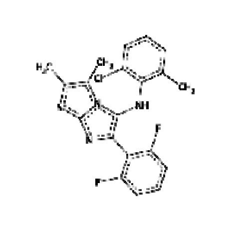 Cc1cccc(Cl)c1Nc1c(-c2c(F)cccc2F)nc2sc(C)c(C)n12